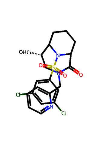 O=C[C@H]1CN(Cc2ccccn2)C(=O)C2CCCC1N2S(=O)(=O)c1cc(Cl)cc(Cl)c1